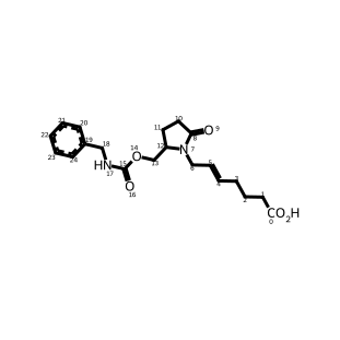 O=C(O)CCCC=CCN1C(=O)CCC1COC(=O)NCc1ccccc1